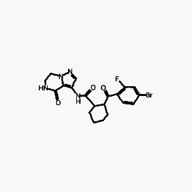 O=C1NCCn2ncc(NC(=O)C3CCCCC3C(=O)c3ccc(Br)cc3F)c21